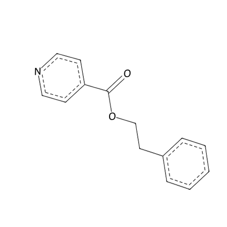 O=C(OCCc1ccccc1)c1ccncc1